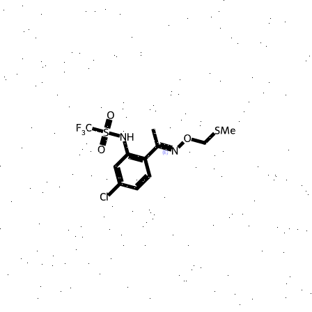 CSCO/N=C(\C)c1ccc(Cl)cc1NS(=O)(=O)C(F)(F)F